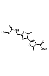 COC(=O)C1N=C(C2N=C(CNC(=O)OC(C)(C)C)OC2C)OC1C